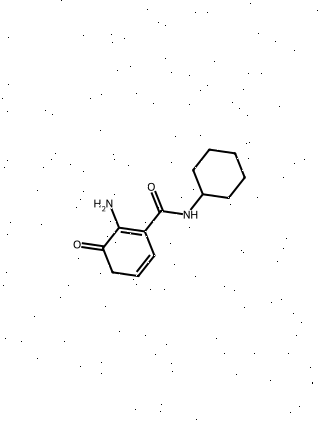 NC1=C(C(=O)NC2CCCCC2)C=CCC1=O